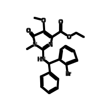 CCOC(=O)c1nc(NC(c2ccccc2)c2ccccc2Br)n(C)c(=O)c1OC